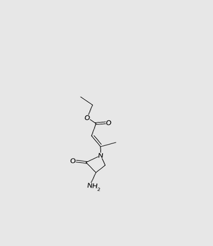 CCOC(=O)C=C(C)N1CC(N)C1=O